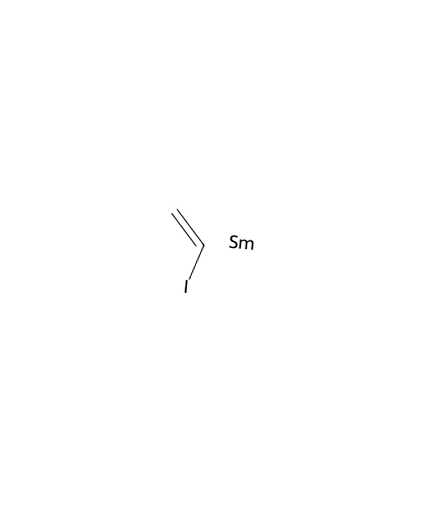 C=CI.[Sm]